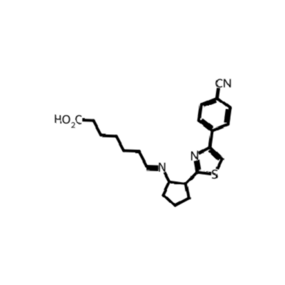 N#Cc1ccc(-c2csc(C3CCCC3N=CCCCCCC(=O)O)n2)cc1